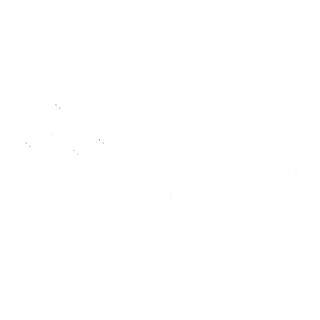 CC(C)=CCC/C(C)=C/C=N/NC(=N)N